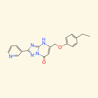 CCc1ccc(OCc2cc(=O)n3nc(-c4cccnc4)nc3[nH]2)cc1